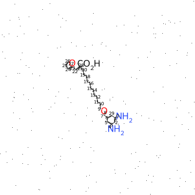 Nc1cc(N)cc(COCCCCCCCCCCCCC(=Cc2ccco2)C(=O)O)c1